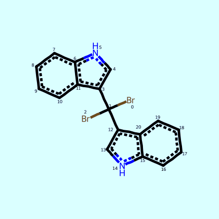 BrC(Br)(c1c[nH]c2ccccc12)c1c[nH]c2ccccc12